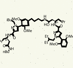 CCCCNC(=O)C[C@@H](CC(C)C)NC(=O)c1cc(-c2c(OC)cc(CCCCNC(O)C[C@@H](CC(C)C)NC(=O)c3cc(-c4c(OC)cccc4OC)n(CC(CC)CC)n3)cc2OC)n(CC(C)CC)n1